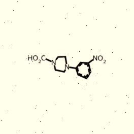 O=C(O)N1CCN(c2cccc([N+](=O)[O-])c2)CC1